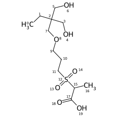 CCC(CO)(CO)COCCCS(=O)(=O)C(C)C(=O)O